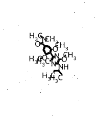 CCC(CC)Nc1nc(C)c(-c2c(OC)cc(C(=O)N(C)C)cc2OC)nc1OC